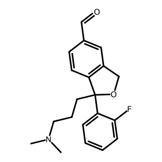 CN(C)CCCC1(c2ccccc2F)OCc2cc(C=O)ccc21